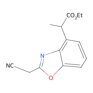 CCOC(=O)C(C)c1cccc2oc(CC#N)nc12